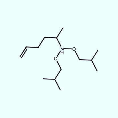 C=CCCC(C)[SiH](OCC(C)C)OCC(C)C